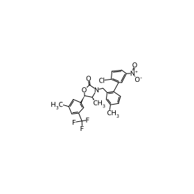 Cc1cc([C@H]2OC(=O)N(Cc3cc(C)ccc3-c3cc([N+](=O)[O-])ccc3Cl)[C@H]2C)cc(C(F)(F)F)c1